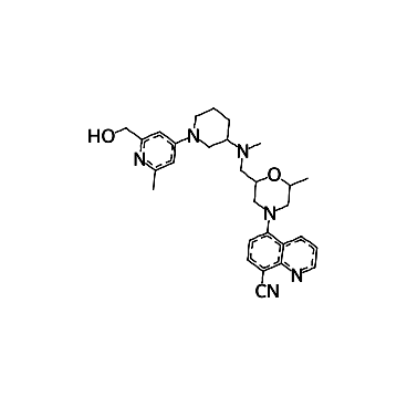 Cc1cc(N2CCCC(N(C)CC3CN(c4ccc(C#N)c5ncccc45)CC(C)O3)C2)cc(CO)n1